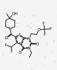 CCn1c(=O)c2c(C(F)F)c(C(=O)N3CCC(C)(O)CC3)sc2n(CCOC(F)(F)F)c1=O